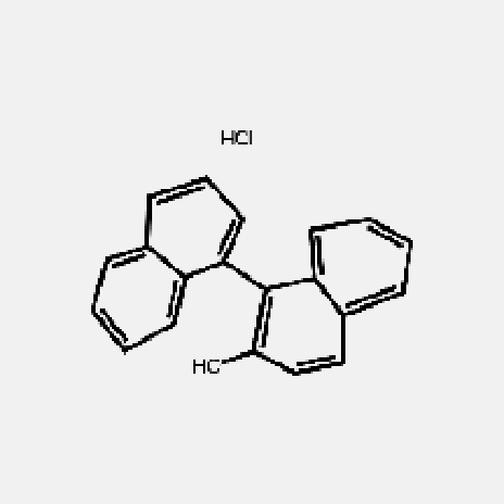 Cl.Oc1ccc2ccccc2c1-c1cccc2ccccc12